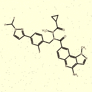 CN(C(=O)C1CC1)N(Cc1ccc(-c2ccn(C(F)F)n2)cc1F)C(=O)c1ccc2nc(N)c3cnn(C)c3c2c1